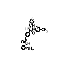 Nc1ccccc1NC(=O)C=Cc1ccc(C(NCCN2CCSCC2)C(=O)Nc2ccc(C(F)(F)F)cn2)cc1